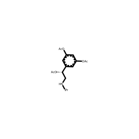 CC(=O)Oc1cc(OC(C)=O)cc([C@H](CNC(C)C)OC(C)=O)c1